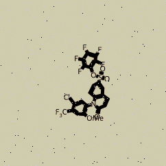 COc1cc(C(F)(F)F)c(Cl)cc1-n1c(=O)ccc2cc(S(=O)(=O)Oc3c(F)c(F)c(F)c(F)c3F)ccc21